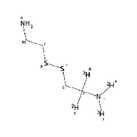 [2H]N([2H])C([2H])([2H])CSSCCN